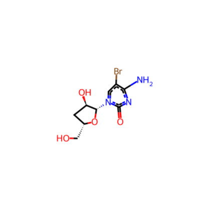 Nc1nc(=O)n([C@@H]2O[C@H](CO)C[C@H]2O)cc1Br